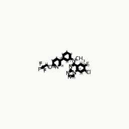 CN(c1cccc(-c2ccc(OCC(F)(F)F)nc2)c1)c1nc2nncn2c2cc(Cl)c(F)cc12